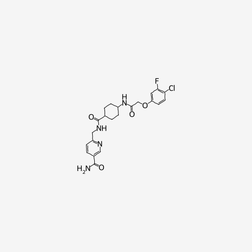 NC(=O)c1ccc(CNC(=O)C2CCC(NC(=O)COc3ccc(Cl)c(F)c3)CC2)nc1